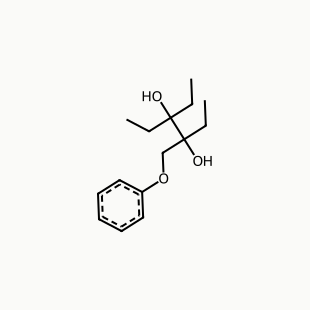 CCC(O)(CC)C(O)(CC)COc1ccccc1